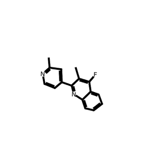 Cc1cc(-c2nc3ccccc3c(F)c2C)ccn1